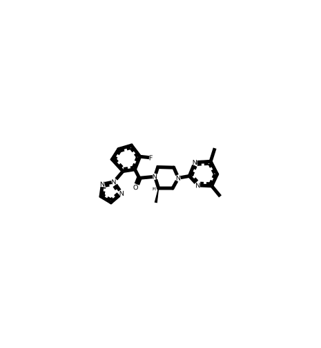 Cc1cc(C)nc(N2CCN(C(=O)c3c(F)cccc3-n3nccn3)[C@H](C)C2)n1